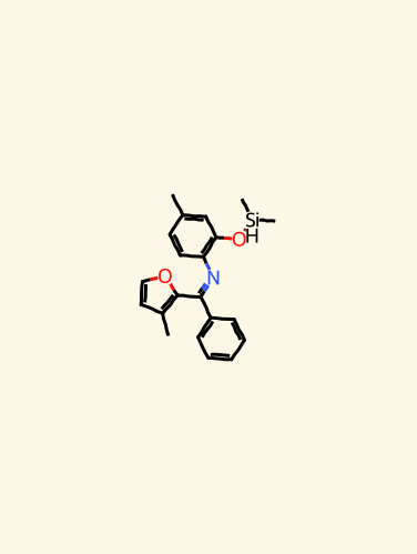 Cc1ccc(N=C(c2ccccc2)c2occc2C)c(O[SiH](C)C)c1